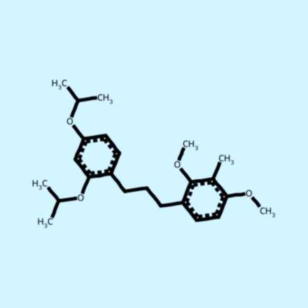 COc1ccc(CCCc2ccc(OC(C)C)cc2OC(C)C)c(OC)c1C